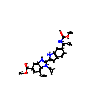 COc1cc(C(=O)OC(C)C)cc2nc(-c3cc4ccc(C(C)NC(=O)OC(C)(C)C)cc4[nH]3)n(C3CC3)c12